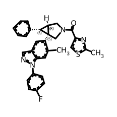 Cc1nc(C(=O)N2C[C@@H]3[C@@H](c4ccccc4)[C@]3(c3cc4cnn(-c5ccc(F)cc5)c4cc3C)C2)cs1